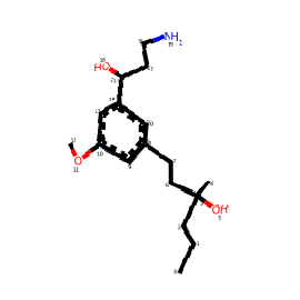 CCCC(C)(O)CCc1cc(OC)cc(C(O)CCN)c1